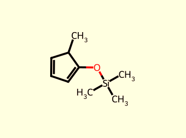 C[C]1C=CC=C1O[Si](C)(C)C